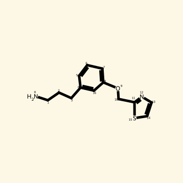 NCCCc1cccc(OCc2nccs2)c1